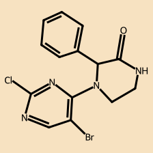 O=C1NCCN(c2nc(Cl)ncc2Br)C1c1ccccc1